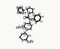 CCC[C@H]1CCC[C@H](N2CC[C@H](N(C(=O)N3CCC[C@H]3c3nnn[nH]3)c3ccccc3)C[C@@H]2CCC)C1